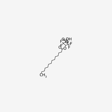 CCCCCCCCCCCCCC(=O)OC(C(F)(F)F)C(F)(F)S(=O)(=O)O